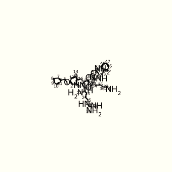 Cc1cc(OCc2ccccc2)cc(C)c1C[C@H](NC(=O)[C@H](N)CCCNC(=N)N)C(=O)N[C@@H](CCCCN)C(=O)N[C@@H](Cc1ccccc1)C(N)=O